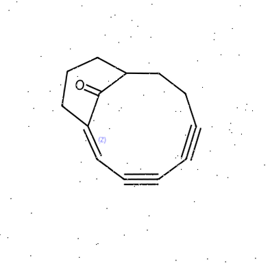 O=C1/C2=C\C#CC#CCCC1CCC2